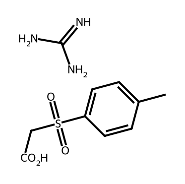 Cc1ccc(S(=O)(=O)CC(=O)O)cc1.N=C(N)N